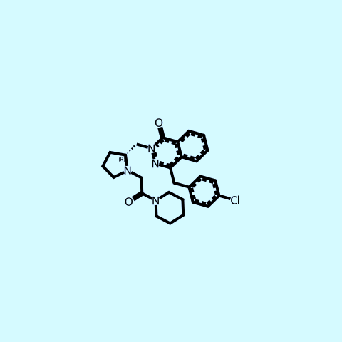 O=C(CN1CCC[C@@H]1Cn1nc(Cc2ccc(Cl)cc2)c2ccccc2c1=O)N1CCCCC1